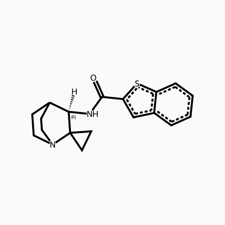 O=C(N[C@@H]1C2CCN(CC2)C12CC2)c1cc2ccccc2s1